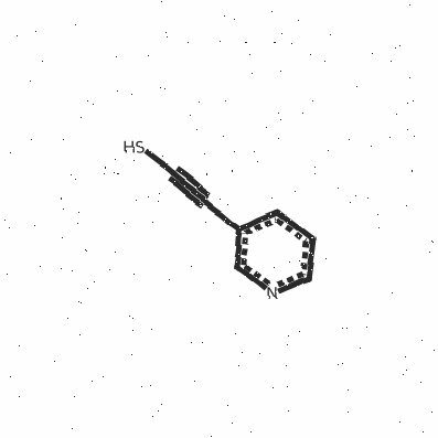 SC#Cc1cccnc1